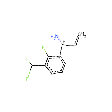 C=C[C@@H](N)c1cccc(C(F)F)c1F